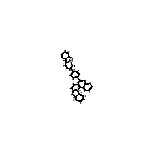 c1ccc2c(c1)nc(-c1ccc(-c3ccc4c5ccccc5nn4c3)cc1)c1ccc3sc4ccccc4c3c12